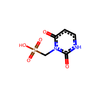 O=c1cc[nH]c(=O)n1CS(=O)(=O)O